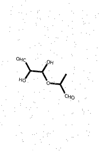 CC(C=O)OC(O)C(O)C=O